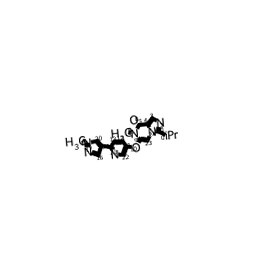 CC(C)c1ncc2c(=O)n(C)c(Oc3ccc(-c4cnn(C)c4)nc3)cn12